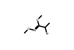 CON=C(OC)C(C)Br